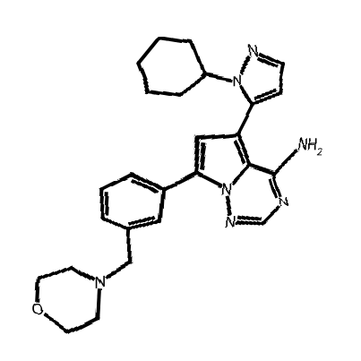 Nc1ncnn2c(-c3cccc(CN4CCOCC4)c3)cc(-c3ccnn3C3CCCCC3)c12